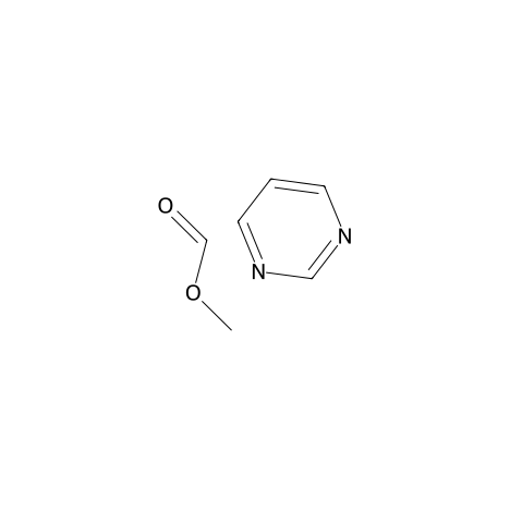 COC=O.c1cncnc1